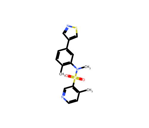 Cc1ccc(-c2cnsc2)cc1N(C)S(=O)(=O)c1cnccc1C